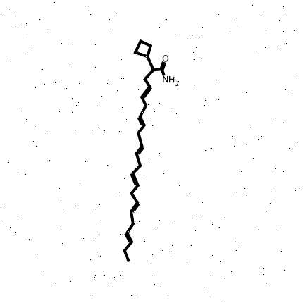 CCC=CCC=CCC=CCC=CCC=CCC=CCC(C(N)=O)C1CCC1